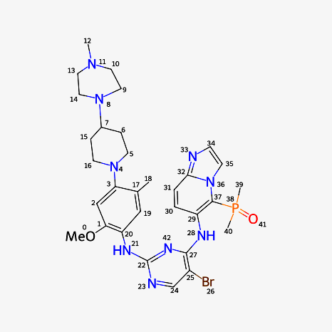 COc1cc(N2CCC(N3CCN(C)CC3)CC2)c(C)cc1Nc1ncc(Br)c(Nc2ccc3nccn3c2P(C)(C)=O)n1